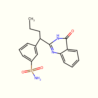 CCCC(c1cccc(S(N)(=O)=O)c1)c1nc2ccccc2c(=O)[nH]1